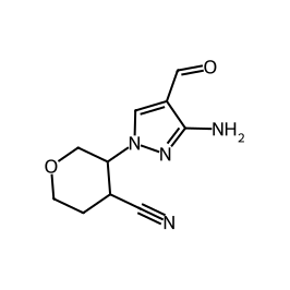 N#CC1CCOCC1n1cc(C=O)c(N)n1